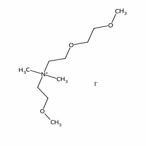 COCCOCC[N+](C)(C)CCOC.[I-]